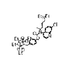 CCOP(=O)(OCC)C(Cc1ccc(OC(=O)N(c2ccnc3cc(Cl)ccc23)C(C)CCCN(CC)CC)cc1)P(=O)(OCC)OCC